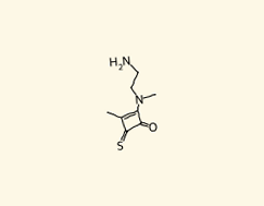 Cc1c(N(C)CCN)c(=O)c1=S